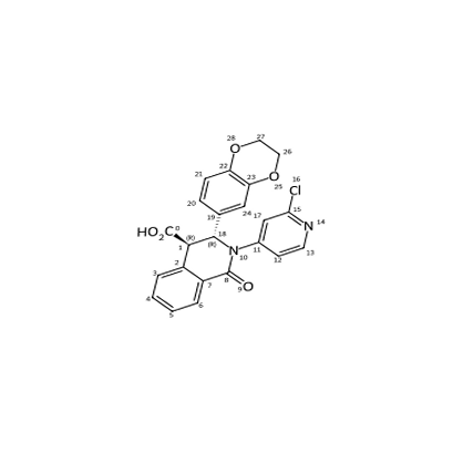 O=C(O)[C@@H]1c2ccccc2C(=O)N(c2ccnc(Cl)c2)[C@H]1c1ccc2c(c1)OCCO2